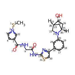 CSn1ccc(C(=O)NCC(=O)Nc2nc(-c3cccc(N4C[C@H]5C[C@@H]4C[C@H]5O)c3)cs2)c1